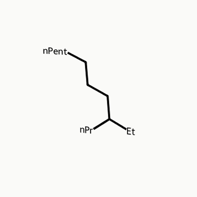 [CH2]CCCCCCCC(CC)CCC